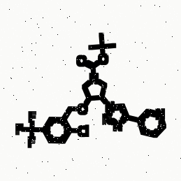 CC(C)(C)OC(=O)N1CC(OCc2cc(C(F)(F)F)ccc2Cl)C(n2cc(-c3cccnc3)nn2)C1